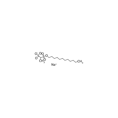 CCCCCCCCCCCCOS(=O)(=O)C(C)S(=O)(=O)[O-].[Na+]